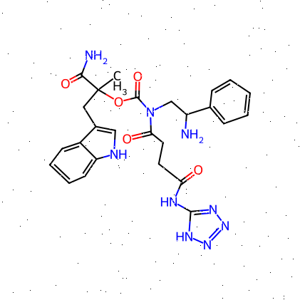 CC(Cc1c[nH]c2ccccc12)(OC(=O)N(CC(N)c1ccccc1)C(=O)CCC(=O)Nc1nnn[nH]1)C(N)=O